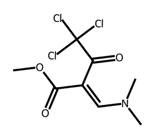 COC(=O)C(=CN(C)C)C(=O)C(Cl)(Cl)Cl